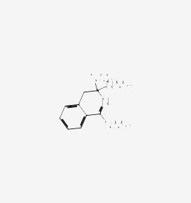 CNC1=NC(NC)(NC)Cc2ccccc21